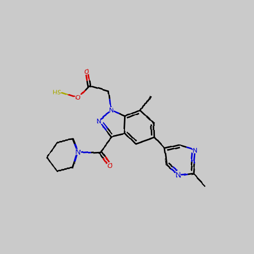 Cc1ncc(-c2cc(C)c3c(c2)c(C(=O)N2CCCCC2)nn3CC(=O)OS)cn1